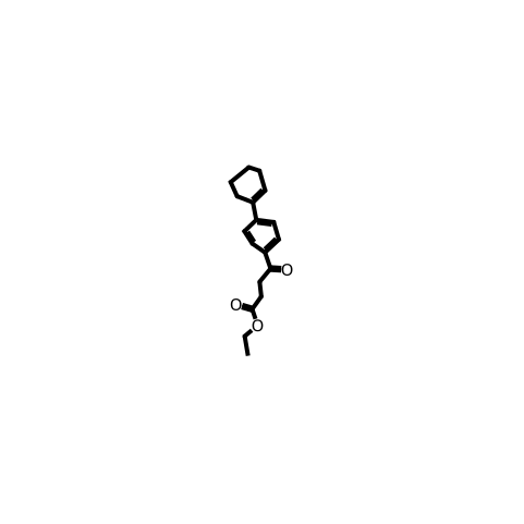 CCOC(=O)CCC(=O)c1ccc(C2=CCCCC2)cc1